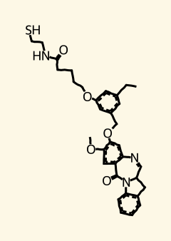 CCc1cc(COc2cc3c(cc2OC)C(=O)N2c4ccccc4CC2C=N3)cc(OCCCCC(=O)NCCS)c1